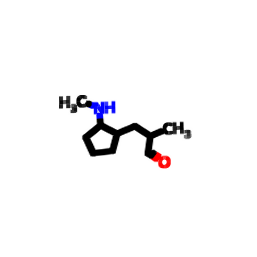 CNC1CCCC1CC(C)C=O